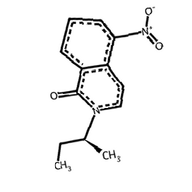 CC[C@H](C)n1ccc2c([N+](=O)[O-])cccc2c1=O